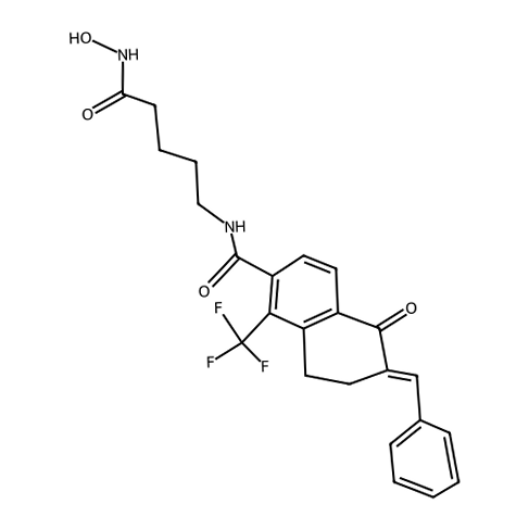 O=C(CCCCNC(=O)c1ccc2c(c1C(F)(F)F)CCC(=Cc1ccccc1)C2=O)NO